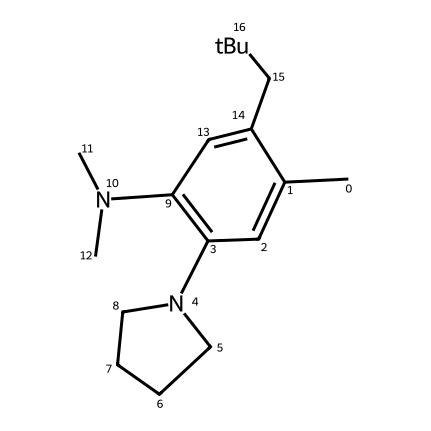 Cc1cc(N2CCCC2)c(N(C)C)cc1CC(C)(C)C